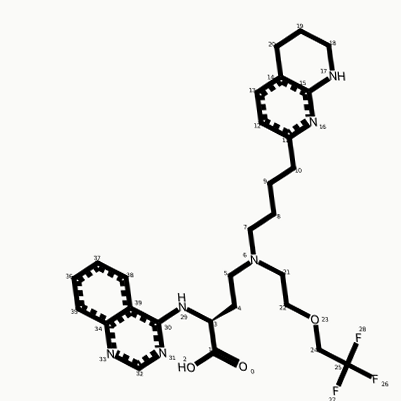 O=C(O)[C@H](CCN(CCCCc1ccc2c(n1)NCCC2)CCOCC(F)(F)F)Nc1ncnc2ccccc12